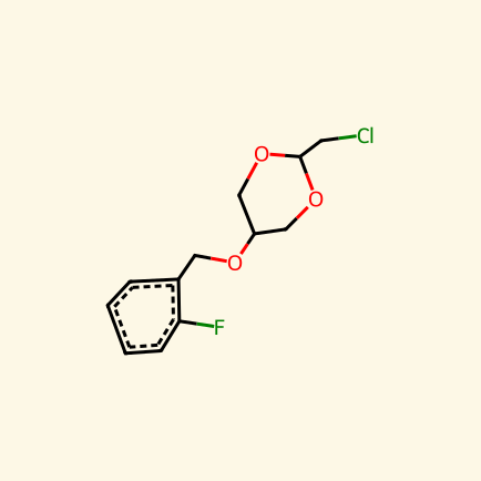 Fc1ccccc1COC1COC(CCl)OC1